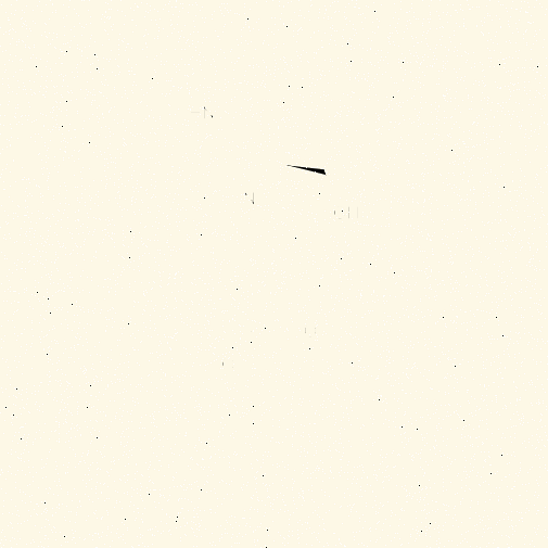 CCOC(=O)CCN1CCNC[C@H]1CO